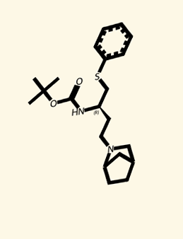 CC(C)(C)OC(=O)N[C@H](CCN1CC2CCC1C2)CSc1ccccc1